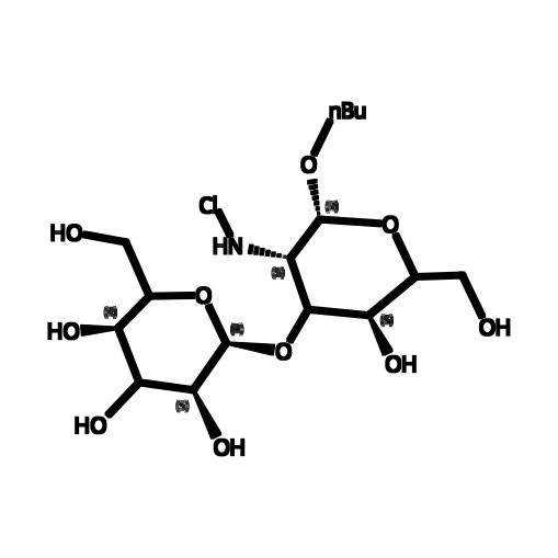 CCCCO[C@@H]1OC(CO)[C@@H](O)C(O[C@@H]2OC(CO)[C@H](O)C(O)[C@@H]2O)[C@@H]1NCl